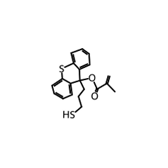 C=C(C)C(=O)OC1(CCCS)c2ccccc2Sc2ccccc21